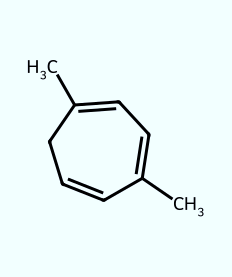 CC1=CC=C(C)CC=C1